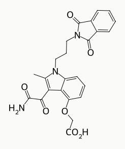 Cc1c(C(=O)C(N)=O)c2c(OCC(=O)O)cccc2n1CCCN1C(=O)c2ccccc2C1=O